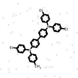 CCc1ccc(N(c2ccc(C)cc2)c2ccc(-c3ccc(N(c4ccc(CC)cc4)c4ccc(CC)cc4)cc3)cc2)cc1